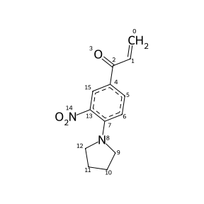 C=CC(=O)c1ccc(N2CCCC2)c([N+](=O)[O-])c1